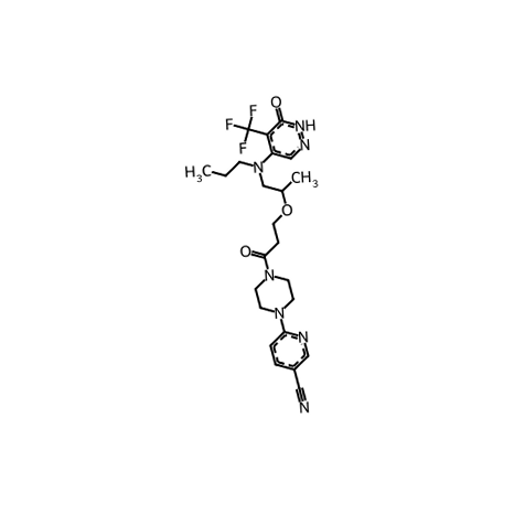 CCCN(CC(C)OCCC(=O)N1CCN(c2ccc(C#N)cn2)CC1)c1cn[nH]c(=O)c1C(F)(F)F